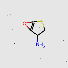 NC1CSC2=C1O2